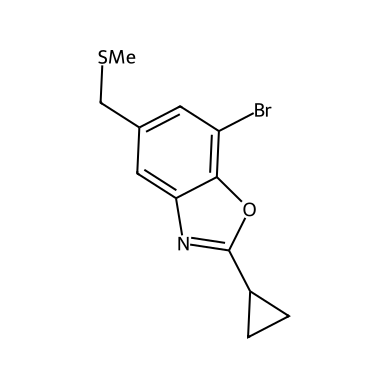 CSCc1cc(Br)c2oc(C3CC3)nc2c1